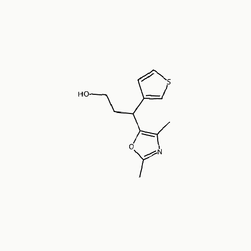 Cc1nc(C)c(C(CCO)c2ccsc2)o1